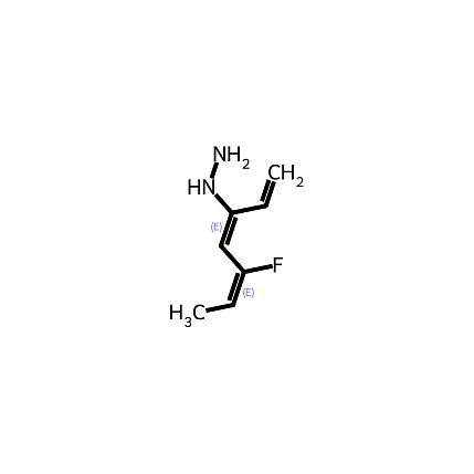 C=C/C(=C\C(F)=C/C)NN